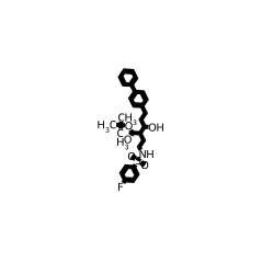 CC(C)(C)OC(=O)C(CCNS(=O)(=O)c1ccc(F)cc1)C(O)CCc1ccc(-c2ccccc2)cc1